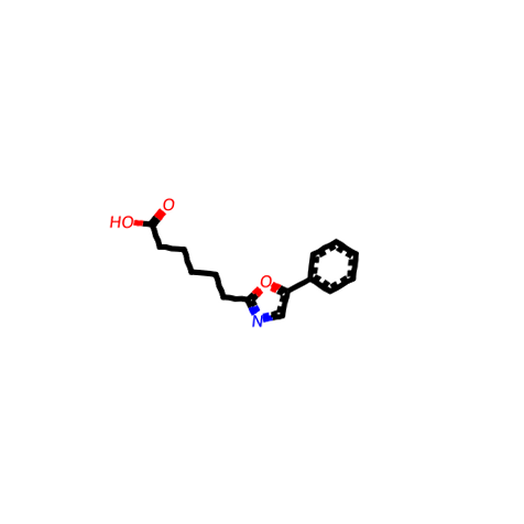 O=C(O)CCCCCc1ncc(-c2ccccc2)o1